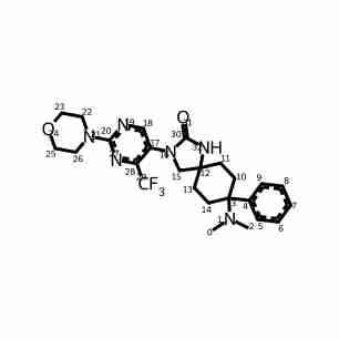 CN(C)C1(c2ccccc2)CCC2(CC1)CN(c1cnc(N3CCOCC3)nc1C(F)(F)F)C(=O)N2